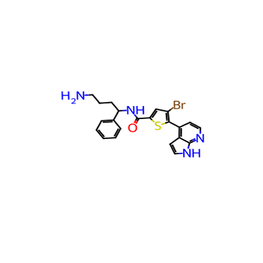 NCCCC(NC(=O)c1cc(Br)c(-c2ccnc3[nH]ccc23)s1)c1ccccc1